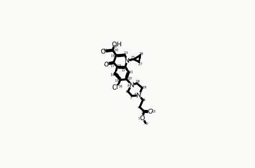 COC(=O)CCN1CCN(c2cc3c(cc2Cl)c(=O)c(C(=O)O)cn3C2CC2)CC1